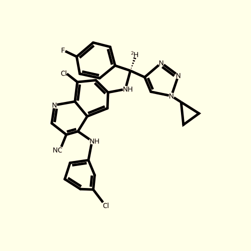 [2H][C@](Nc1cc(Cl)c2ncc(C#N)c(Nc3cccc(Cl)c3)c2c1)(c1ccc(F)cc1)c1cn(C2CC2)nn1